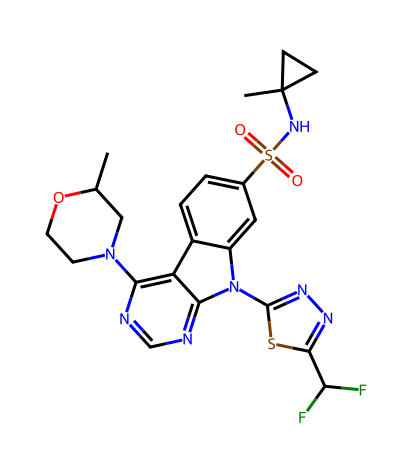 CC1CN(c2ncnc3c2c2ccc(S(=O)(=O)NC4(C)CC4)cc2n3-c2nnc(C(F)F)s2)CCO1